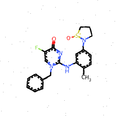 Cc1ccc(N2CCC[S+]2[O-])cc1Nc1nc(=O)c(F)cn1Cc1ccccc1